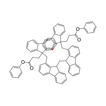 O=C(CCC1(Cc2cccc3c2C(CC2c4ccccc4-c4cccc(CC5(CCC(=O)Oc6ccccc6)c6ccccc6-c6ccccc65)c42)c2ccccc2-3)c2ccccc2-c2ccccc21)Oc1ccccc1